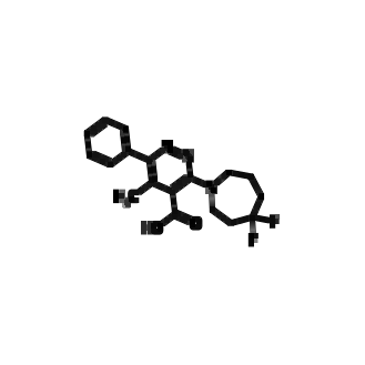 Cc1c(-c2ccccc2)nnc(N2CCCC(F)(F)CC2)c1C(=O)O